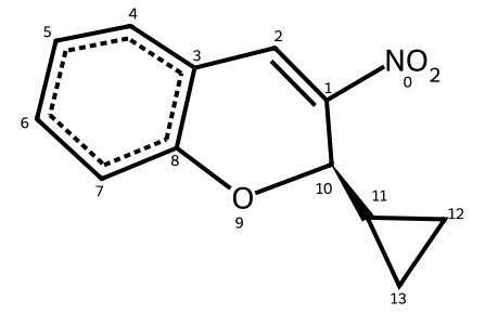 O=[N+]([O-])C1=Cc2ccccc2O[C@@H]1C1CC1